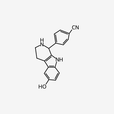 N#Cc1ccc(C2NCCc3c2[nH]c2ccc(O)cc32)cc1